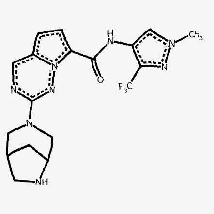 Cn1cc(NC(=O)c2ccc3cnc(N4CC5CNC(C5)C4)nn23)c(C(F)(F)F)n1